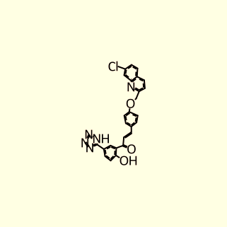 O=C(/C=C/c1ccc(OCc2ccc3ccc(Cl)cc3n2)cc1)c1cc(-c2nnn[nH]2)ccc1O